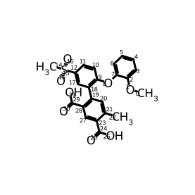 COc1ccccc1Oc1ccc(S(C)(=O)=O)cc1-c1cc(C)c(C(=O)O)cc1C(=O)O